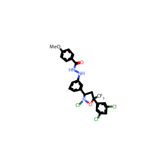 COc1ccc(C(=O)NNc2cccc(C3CC(c4cc(Cl)cc(Cl)c4)(C(F)(F)F)ON3Cl)c2)cc1